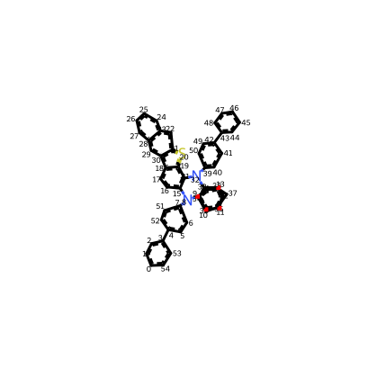 c1ccc(-c2ccc(N(c3ccccc3)c3ccc4c(sc5cc6ccccc6cc54)c3N(c3ccccc3)c3ccc(-c4ccccc4)cc3)cc2)cc1